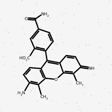 Cc1c2oc3c(C)c(N)ccc3c(-c3ccc(C(N)=O)cc3C(=O)O)c-2ccc1=N